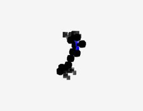 CC1(C)c2ccccc2-c2c(-c3cc(-c4ccc(-c5ccc(-c6ccc7c(c6)-c6ccc8ccccc8c6C7(C)C)cc5)c5ccccc45)nc(-c4ccccc4)n3)cccc21